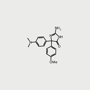 COc1ccc(C2(c3ccc(N(C)C)cc3)N=C(N)NC2=O)cc1